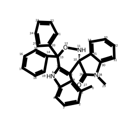 Cc1cccc2[nH]c3c(c12)[C@]1(NOC3(c2ccccc2)c2ccccc2)C(=O)N(C)c2ccccc21